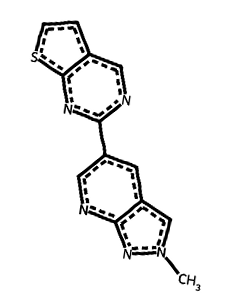 Cn1cc2cc(-c3ncc4ccsc4n3)cnc2n1